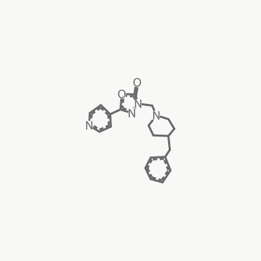 O=c1oc(-c2ccncc2)nn1CN1CCC(Cc2ccccc2)CC1